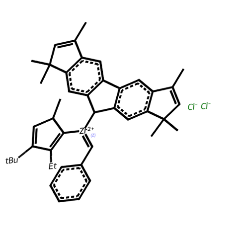 CCC1=[C](/[Zr+2](=[CH]\c2ccccc2)[CH]2c3cc4c(cc3-c3cc5c(cc32)C(C)(C)C=C5C)C(C)=CC4(C)C)C(C)C=C1C(C)(C)C.[Cl-].[Cl-]